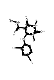 Cn1c(Nc2ccc(I)cc2F)c(C(=O)NO)c(=O)n(C)c1=O